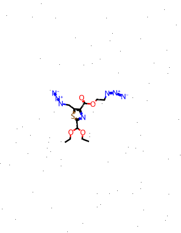 CCOC(OCC)c1nc(C(=O)OCCN=[N+]=[N-])c(CN=[N+]=[N-])s1